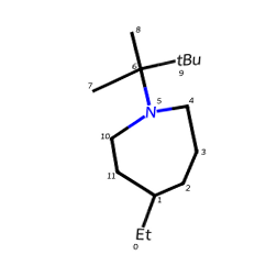 CCC1CCCN(C(C)(C)C(C)(C)C)CC1